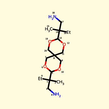 CCC(C)(CN)C1OCC2(CO1)COC(C(C)(CC)CN)OC2